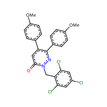 COc1ccc(-c2cc(=O)n(Cc3c(Cl)cc(Cl)cc3Cl)nc2-c2ccc(OC)cc2)cc1